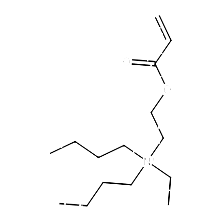 C=CC(=O)OCC[N+](CC)(CCCC)CCCC